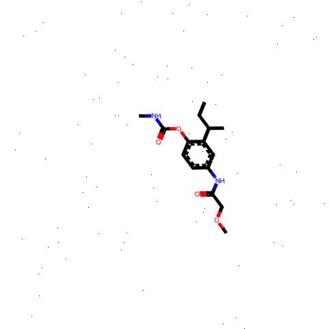 CCC(C)c1cc(NC(=O)COC)ccc1OC(=O)NC